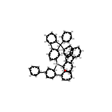 c1ccc(-c2ccc(-c3ccccc3)c(N(c3ccc4c(c3)C(c3ccccc3)(c3ccccc3)c3ccccc3-4)c3cccc4c3sc3ccccc34)c2)cc1